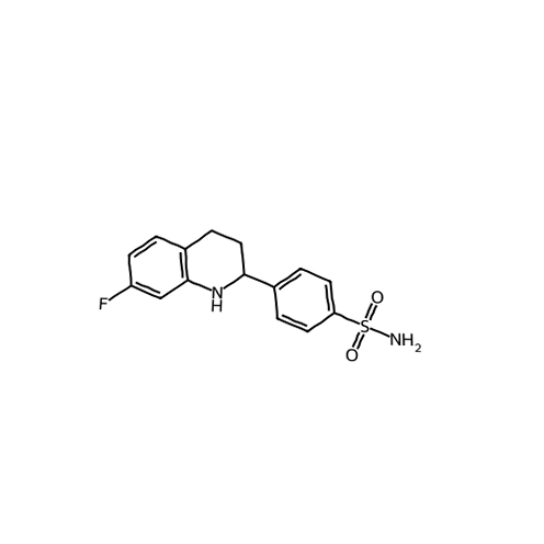 NS(=O)(=O)c1ccc(C2CCc3ccc(F)cc3N2)cc1